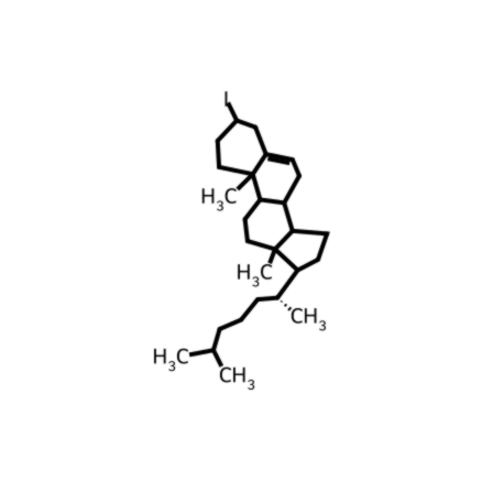 CC(C)CCC[C@@H](C)C1CCC2C3CC=C4CC(I)CCC4(C)C3CCC21C